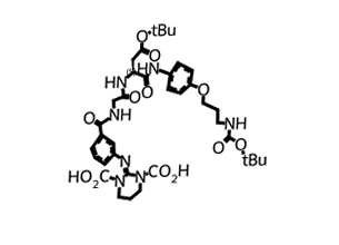 CC(C)(C)OC(=O)C[C@H](NC(=O)CNC(=O)c1cccc(N=C2N(C(=O)O)CCCN2C(=O)O)c1)C(=O)Nc1ccc(OCCCNC(=O)OC(C)(C)C)cc1